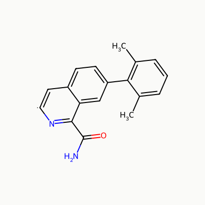 Cc1cccc(C)c1-c1ccc2c[c]nc(C(N)=O)c2c1